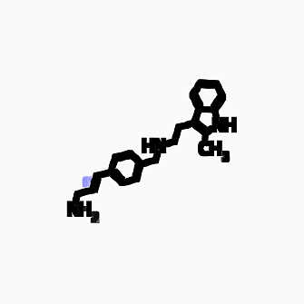 Cc1[nH]c2ccccc2c1CCNCc1ccc(/C=C/CN)cc1